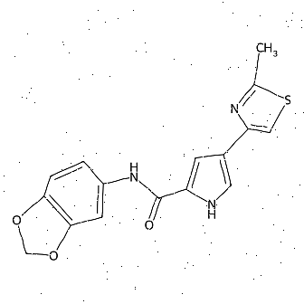 Cc1nc(-c2c[nH]c(C(=O)Nc3ccc4c(c3)OCO4)c2)cs1